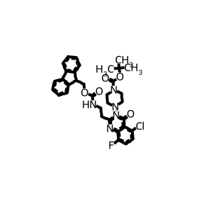 CC(C)(C)OC(=O)N1CCN(n2c(CCNC(=O)OCC3c4ccccc4-c4ccccc43)nc3c(F)ccc(Cl)c3c2=O)CC1